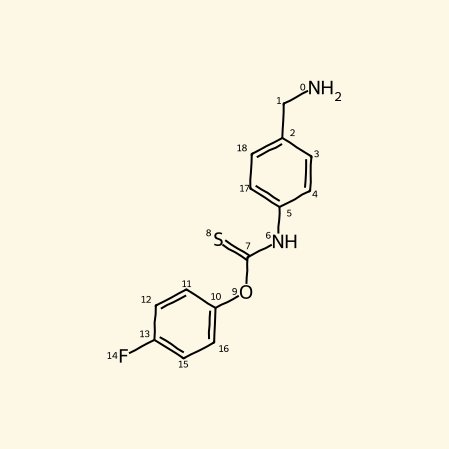 NCc1ccc(NC(=S)Oc2ccc(F)cc2)cc1